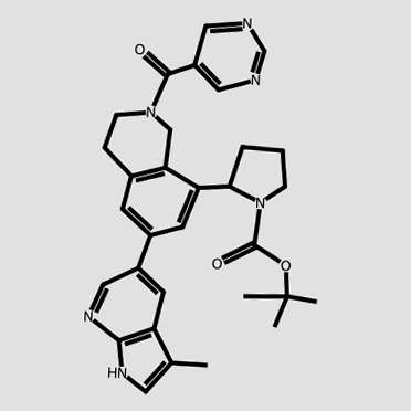 Cc1c[nH]c2ncc(-c3cc4c(c(C5CCCN5C(=O)OC(C)(C)C)c3)CN(C(=O)c3cncnc3)CC4)cc12